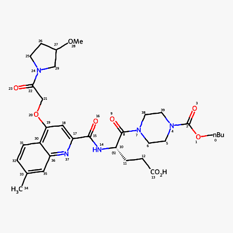 CCCCOC(=O)N1CCN(C(=O)[C@H](CCC(=O)O)NC(=O)c2cc(OCC(=O)N3CCC(OC)C3)c3ccc(C)cc3n2)CC1